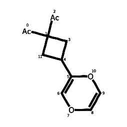 CC(=O)C1(C(C)=O)CC(C2=COC=CO2)C1